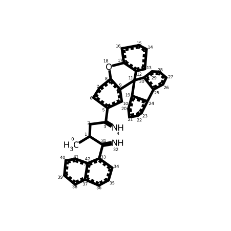 CC(CC(=N)c1ccc2c(c1)C1(c3ccccc3O2)c2ccccc2-c2ccccc21)C(=N)c1cccc2ccccc12